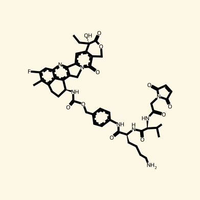 CC[C@@]1(O)C(=O)OCc2c1cc1n(c2=O)Cc2c-1nc1cc(F)c(C)c3c1c2[C@@H](NC(=O)OCc1ccc(NC(=O)[C@H](CCCCN)NC(=O)[C@@H](NC(=O)CN2C(=O)C=CC2=O)C(C)C)cc1)CC3